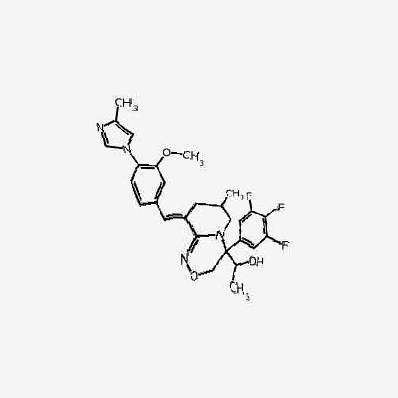 COc1cc(/C=C2\CC(C)CN3C2=NOCC3(c2cc(F)c(F)c(F)c2)C(C)O)ccc1-n1cnc(C)c1